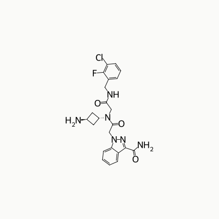 NC(=O)c1nn(CC(=O)N(CC(=O)NCc2cccc(Cl)c2F)[C@H]2C[C@H](N)C2)c2ccccc12